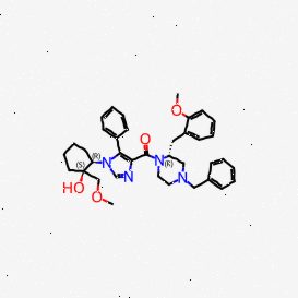 COC[C@]1(O)CCCC[C@H]1n1cnc(C(=O)N2CCN(Cc3ccccc3)C[C@H]2Cc2ccccc2OC)c1-c1ccccc1